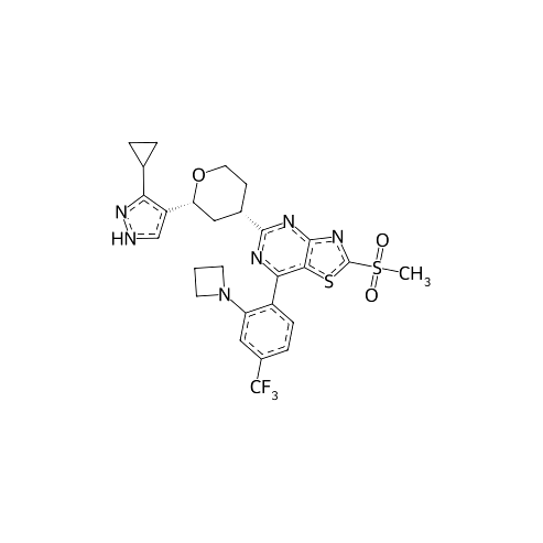 CS(=O)(=O)c1nc2nc([C@H]3CCO[C@@H](c4c[nH]nc4C4CC4)C3)nc(-c3ccc(C(F)(F)F)cc3N3CCC3)c2s1